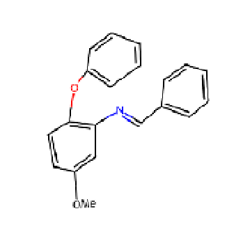 COc1ccc(Oc2ccccc2)c(N=Cc2ccccc2)c1